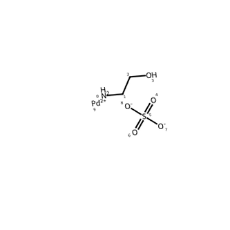 NCCO.O=S(=O)([O-])[O-].[Pd+2]